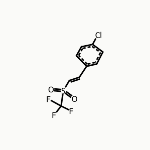 O=S(=O)(C=Cc1ccc(Cl)cc1)C(F)(F)F